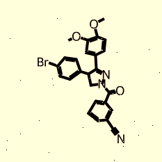 COc1ccc(C2=NN(C(=O)c3cccc(C#N)c3)CC2c2ccc(Br)cc2)cc1OC